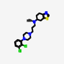 CCCN(CCCN1CCN(c2cccc(Cl)c2Cl)CC1)C1CCc2ncsc2C1